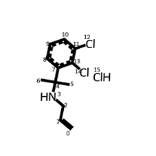 C=CCNC(C)(C)c1cccc(Cl)c1Cl.Cl